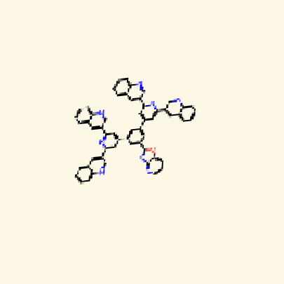 c1ccc2ncc(-c3cc(-c4cc(-c5cc(-c6cnc7ccccc7c6)nc(-c6cnc7ccccc7c6)c5)cc(-c5nc6ncccc6o5)c4)cc(-c4cnc5ccccc5c4)n3)cc2c1